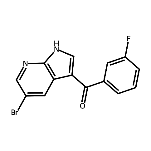 O=C(c1cccc(F)c1)c1c[nH]c2ncc(Br)cc12